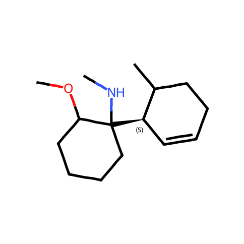 CNC1([C@@H]2C=CCCC2C)CCCCC1OC